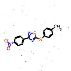 Cc1ccc(Sc2nc(-c3ccc([N+](=O)[O-])cc3)ns2)cc1